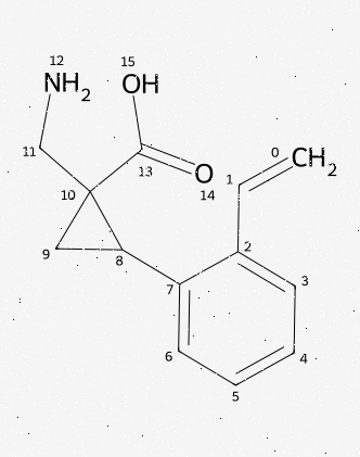 C=Cc1ccccc1C1CC1(CN)C(=O)O